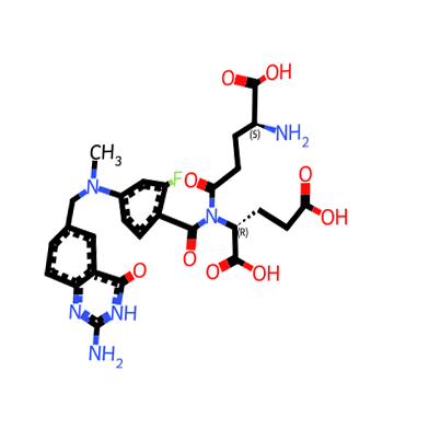 CN(Cc1ccc2nc(N)[nH]c(=O)c2c1)c1ccc(C(=O)N(C(=O)CC[C@H](N)C(=O)O)[C@H](CCC(=O)O)C(=O)O)c(F)c1